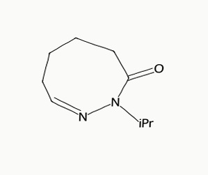 CC(C)N1/N=C\CCCCC1=O